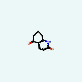 O=C1CCCc2[nH]c(=O)ccc21